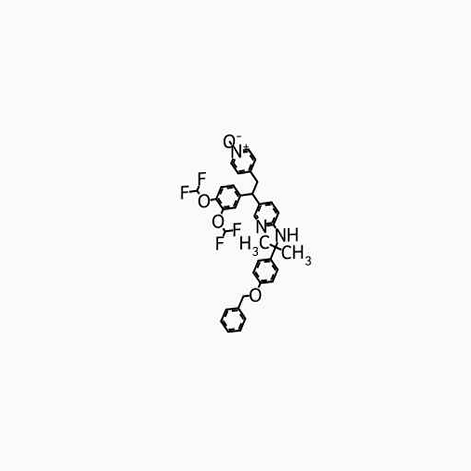 CC(C)(Nc1ccc(C(Cc2cc[n+]([O-])cc2)c2ccc(OC(F)F)c(OC(F)F)c2)cn1)c1ccc(OCc2ccccc2)cc1